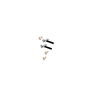 [CH3][Sn+3].[CH3][Sn+3].[S-2].[S-2].[S-2]